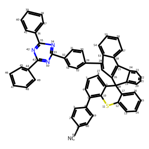 N#Cc1ccc(-c2cccc3c2Sc2ccccc2C32c3ccccc3-c3c2cc(-c2ccc(-c4nc(-c5ccccc5)nc(-c5ccccc5)n4)cc2)c2ccccc32)cc1